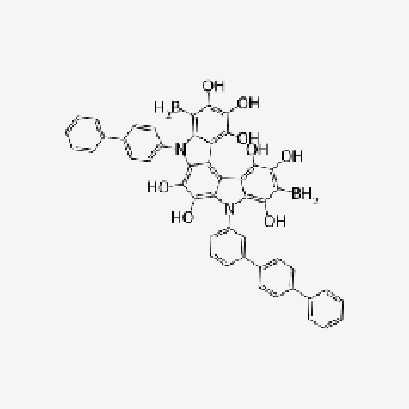 Bc1c(O)c(O)c2c3c4c5c(O)c(O)c(O)c(B)c5n(-c5ccc(-c6ccccc6)cc5)c4c(O)c(O)c3n(-c3cccc(-c4ccc(-c5ccccc5)cc4)c3)c2c1O